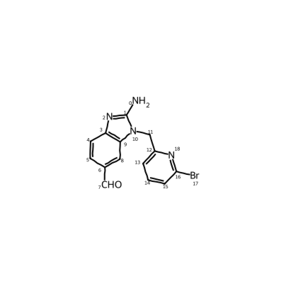 Nc1nc2ccc(C=O)cc2n1Cc1cccc(Br)n1